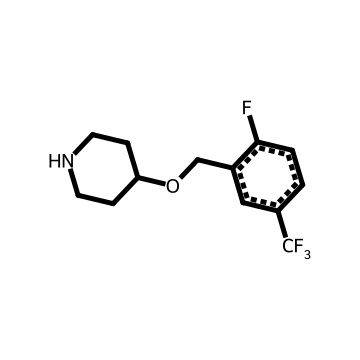 Fc1ccc(C(F)(F)F)cc1COC1CCNCC1